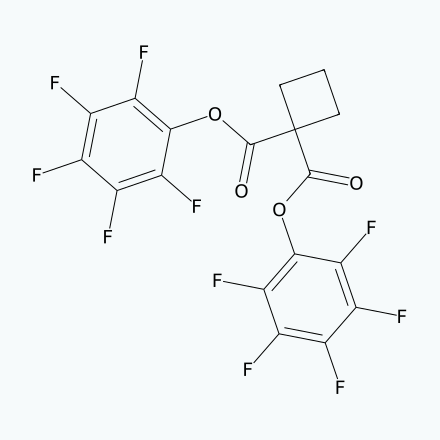 O=C(Oc1c(F)c(F)c(F)c(F)c1F)C1(C(=O)Oc2c(F)c(F)c(F)c(F)c2F)CCC1